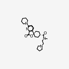 CN(CCN1CCCC1)C(=O)[C@H]1CC[C@@]2(CC1)OC(=O)c1nc(N3CCCCC3)ccc12